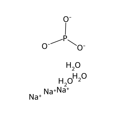 O.O.O.[Na+].[Na+].[Na+].[O-]P([O-])[O-]